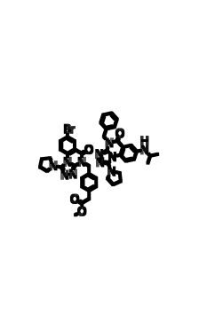 CC(C)Nc1ccc2c(c1)c(=O)n(Cc1ccccc1)c1nnc(N3CCCC3)n21.COC(=O)Cc1ccc(Cn2c(=O)c3cc(Br)ccc3n3c(N4CCCC4)nnc23)cc1